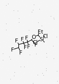 CCC(OC(F)C(F)(F)C(F)(F)C(F)C(F)F)[Si](C)(Cl)Cl